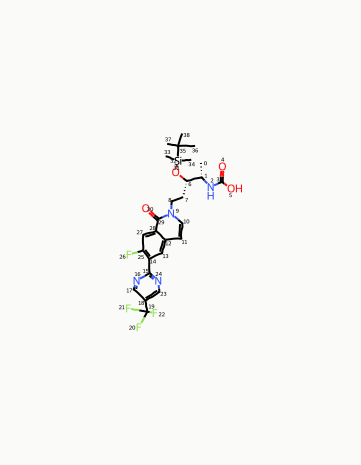 C[C@H](NC(=O)O)[C@H](CCn1ccc2cc(-c3ncc(C(F)(F)F)cn3)c(F)cc2c1=O)O[Si](C)(C)C(C)(C)C